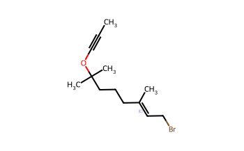 CC#COC(C)(C)CCC/C(C)=C/CBr